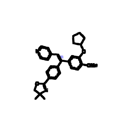 COc1ccc(/C(=C/c2ccncc2)c2ccc(C3=NC(C)(C)CO3)cc2)cc1OC1CCCC1